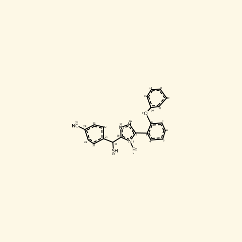 CCn1c(-c2ccccc2Oc2ccccc2)nnc1C(S)c1ccc(C#N)cc1